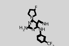 N=Cc1c(Nc2cccc(C(F)(F)F)c2)nc(N)nc1N1CCC(F)C1